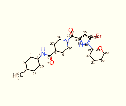 CC1CCC(NC(=O)C2CCN(C(=O)c3cc(Br)n(C4CCCCO4)n3)CC2)CC1